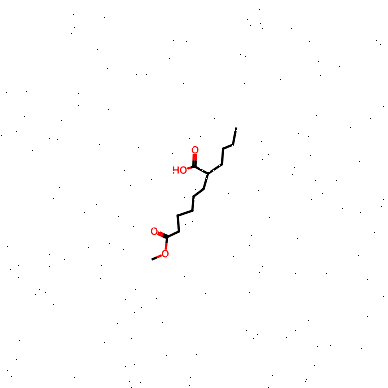 CCCCC(CCCCCC(=O)OC)C(=O)O